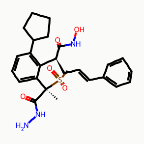 C[C@](C(=O)NN)(c1cccc(C2CCCC2)c1[C@H](C/C=C/c1ccccc1)C(=O)NO)S(C)(=O)=O